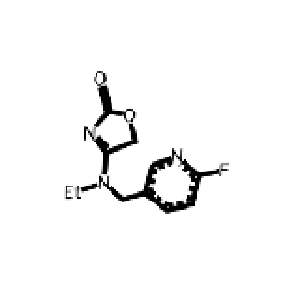 CCN(Cc1ccc(F)nc1)C1=NC(=O)OC1